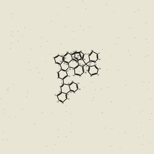 c1ccc(-c2ccc(-c3cc4ccccc4c4ccccc34)cc2N(c2cccc3c2-c2ccccc2C3(c2ccccc2)c2ccccc2)c2cccc3ccccc23)cc1